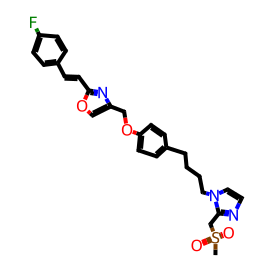 CS(=O)(=O)Cc1nccn1CCCCc1ccc(OCc2coc(/C=C/c3ccc(F)cc3)n2)cc1